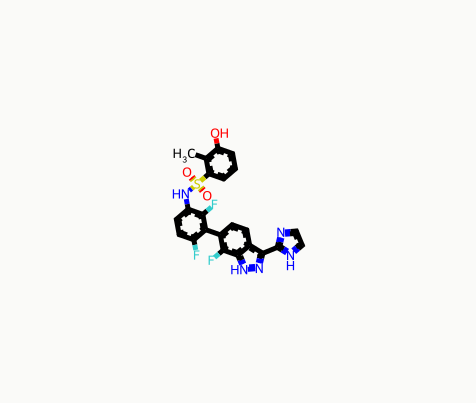 Cc1c(O)cccc1S(=O)(=O)Nc1ccc(F)c(-c2ccc3c(-c4ncc[nH]4)n[nH]c3c2F)c1F